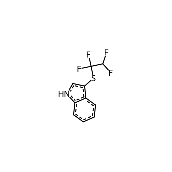 FC(F)C(F)(F)Sc1c[nH]c2ccccc12